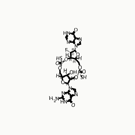 Nc1nc2c(ncn2[C@@H]2O[C@@H]3CO[P@@](=O)(S)O[C@H]4[C@H](F)[C@H](n5cnc6c(=O)[nH]cnc65)O[C@@H]4CO[P@@](=O)(S)O[C@@H]2[C@@H]3O)c(=O)[nH]1